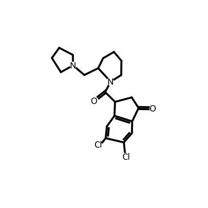 O=C1CC(C(=O)N2CCCCC2CN2CCCC2)c2cc(Cl)c(Cl)cc21